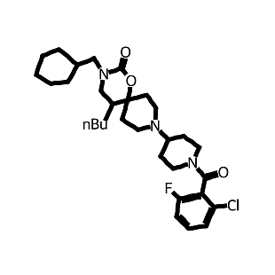 CCCCC1CN(CC2CCCCC2)C(=O)OC12CCN(C1CCN(C(=O)c3c(F)cccc3Cl)CC1)CC2